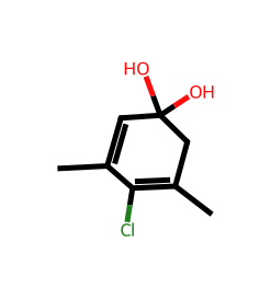 CC1=CC(O)(O)CC(C)=C1Cl